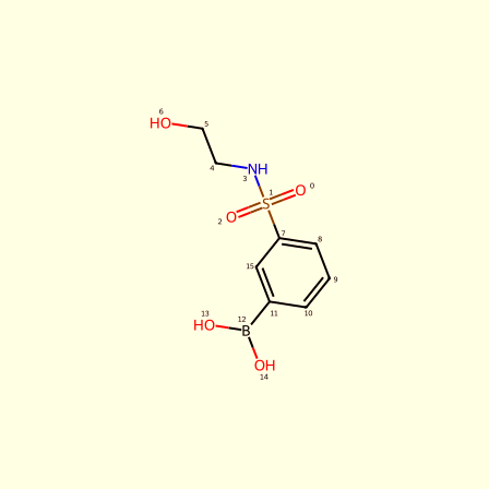 O=S(=O)(NCCO)c1cccc(B(O)O)c1